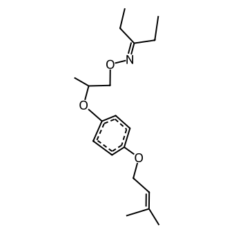 CCC(CC)=NOCC(C)Oc1ccc(OCC=C(C)C)cc1